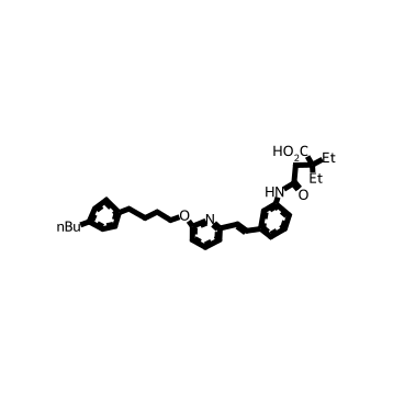 CCCCc1ccc(CCCCOc2cccc(/C=C/c3cccc(NC(=O)CC(CC)(CC)C(=O)O)c3)n2)cc1